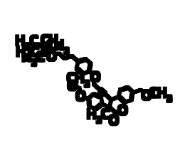 COCOc1ccc(C2(C)C(=O)Oc3cc(COC)ccc3C2C#CCOc2ccc(CCCO[Si](C)(C)C(C)(C)C)cc2)cc1